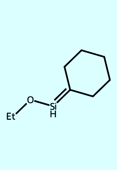 CCO[SiH]=C1CCCCC1